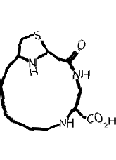 O=C(O)C1CNC(=O)C2NC(CCCCCCN1)CS2